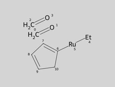 C=O.C=O.C[CH2][Ru][C]1=CC=CC1